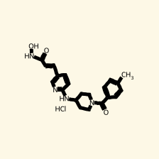 Cc1ccc(C(=O)N2CCC(Nc3ccc(/C=C/C(=O)NO)cn3)CC2)cc1.Cl